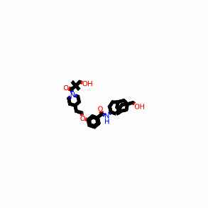 CC(C)(CO)C(=O)N1CCC(CCOc2cccc(C(=O)NC3CCC4CC5CC(CO)(C4)CC53)c2)CC1